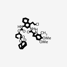 COc1cc2cc(C(=O)Nc3cc(NC(=O)OC4CCC[C@]5(C4)OOC4(O5)C5CC6CC(C5)CC4C6)c4ccccc4c3CCCl)[nH]c2c(C)c1OC